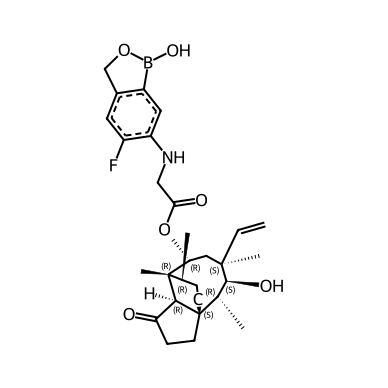 C=C[C@]1(C)C[C@@H](OC(=O)CNc2cc3c(cc2F)COB3O)[C@]2(C)[C@H](C)CC[C@]3(CCC(=O)[C@H]32)[C@@H](C)[C@@H]1O